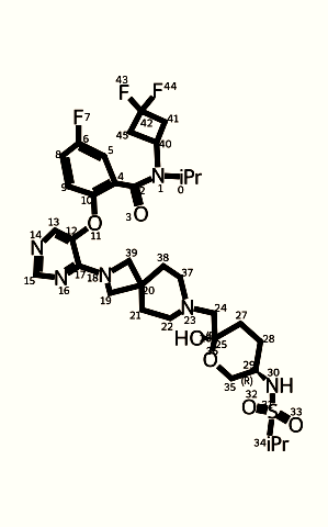 CC(C)N(C(=O)c1cc(F)ccc1Oc1cncnc1N1CC2(CCN(C[C@@]3(O)CC[C@@H](NS(=O)(=O)C(C)C)CO3)CC2)C1)C1CC(F)(F)C1